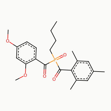 CCCCP(=O)(C(=O)c1ccc(OC)cc1OC)C(=O)c1c(C)cc(C)cc1C